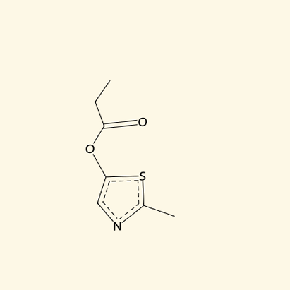 CCC(=O)Oc1cnc(C)s1